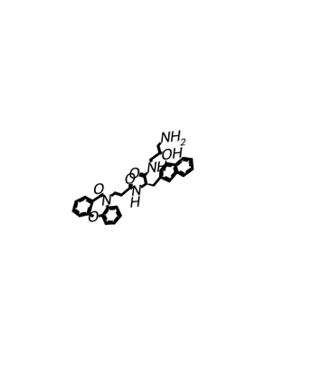 NCC(O)CNC(=O)[C@@H](Cc1ccc2ccccc2c1)NC(=O)CCN1C(=O)c2ccccc2Oc2ccccc21